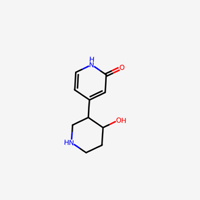 O=c1cc(C2CNCCC2O)cc[nH]1